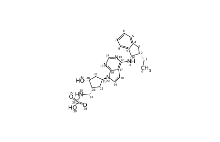 CC[C@H]1Cc2ccccc2[C@H]1Nc1ncnc2c1ccn2[C@H]1C[C@H](CNS(=O)(=O)O)[C@H](O)C1